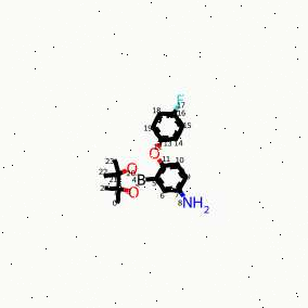 CC1(C)OB(c2cc(N)ccc2Oc2ccc(F)cc2)OC1(C)C